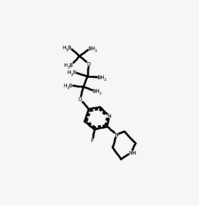 BC(B)(B)OC(B)(B)C(B)(B)Oc1cnc(N2CCNCC2)c(F)c1